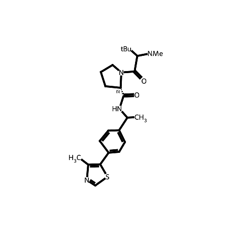 CNC(C(=O)N1CCC[C@H]1C(=O)NC(C)c1ccc(-c2scnc2C)cc1)C(C)(C)C